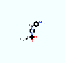 CCOc1c(N2CCN(C(=O)[C@H]3CC[C@H](N)CC3)CC2)c(=O)c1=O